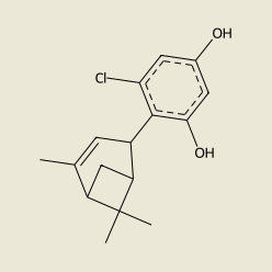 CC1=CC(c2c(O)cc(O)cc2Cl)C2CC1C2(C)C